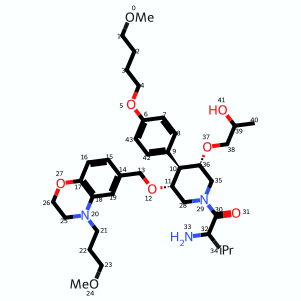 COCCCCOc1ccc([C@@H]2[C@@H](OCc3ccc4c(c3)N(CCCOC)CCO4)CN(C(=O)C(N)C(C)C)C[C@H]2OCC(C)O)cc1